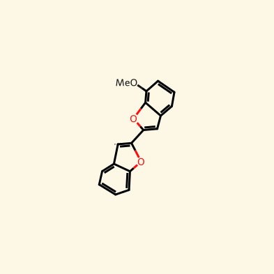 COc1cccc2cc(-c3[c]c4ccccc4o3)oc12